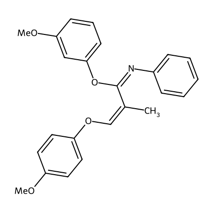 COc1ccc(OC=C(C)C(=Nc2ccccc2)Oc2cccc(OC)c2)cc1